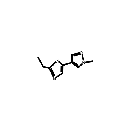 CCc1ncc(-c2cnn(C)c2)s1